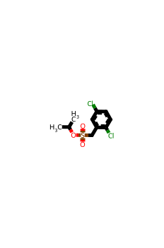 CC(C)OS(=O)(=O)Cc1cc(Cl)ccc1Cl